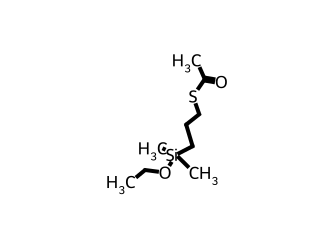 CCO[Si](C)(C)CCCSC(C)=O